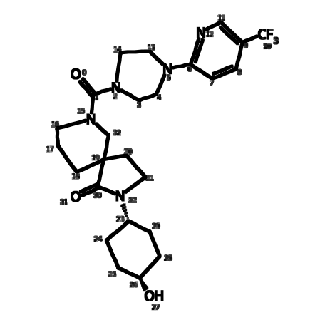 O=C(N1CCN(c2ccc(C(F)(F)F)cn2)CC1)N1CCCC2(CCN([C@H]3CC[C@H](O)CC3)C2=O)C1